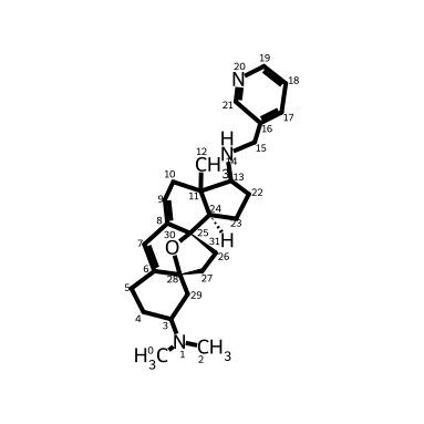 CN(C)C1CCC2=CC3=CCC4(C)C(NCc5cccnc5)CC[C@H]4[C@@]34CC[C@]2(C1)O4